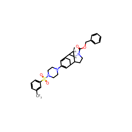 C[C@@H]1C2C3=CC(N4CCN(S(=O)(=O)c5cccc(C(F)(F)F)c5)CC4)=CC(C3)C3CCN(C(=O)OCc4ccccc4)[C@]321